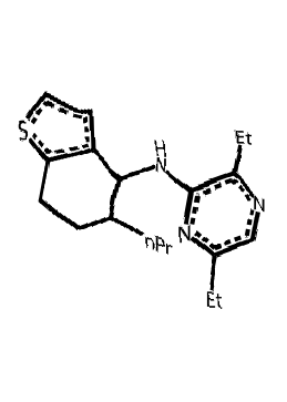 CCCC1CCc2sccc2C1Nc1nc(CC)cnc1CC